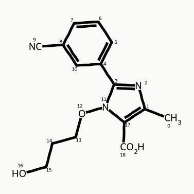 Cc1nc(-c2cccc(C#N)c2)n(OCCCO)c1C(=O)O